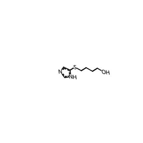 OCCCCSc1cnc[nH]1